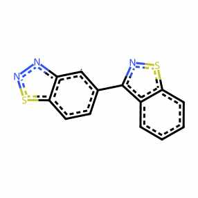 [c]1c(-c2nsc3ccccc23)ccc2snnc12